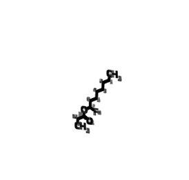 CCCCCCCC(F)OC(=O)CC